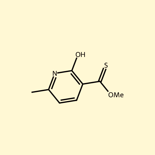 COC(=S)c1ccc(C)nc1O